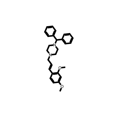 COc1ccc(C=CCN2CCN(C(c3ccccc3)c3ccccc3)CC2)c(OC)c1